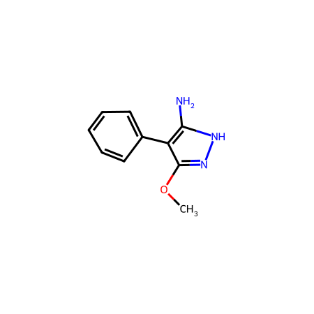 COc1n[nH]c(N)c1-c1ccccc1